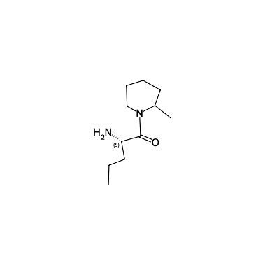 CCC[C@H](N)C(=O)N1CCCCC1C